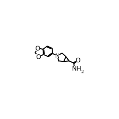 NC(=O)C1C2CN(c3ccc4c(c3)OCO4)CC21